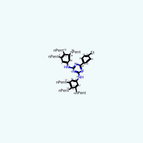 CCCCCc1cc(Nc2nc(Nc3cc(CCCCC)c(CCCCC)c(CCCCC)c3)nc(-c3ccc(CC)cc3)n2)cc(CCCCC)c1CCCCC